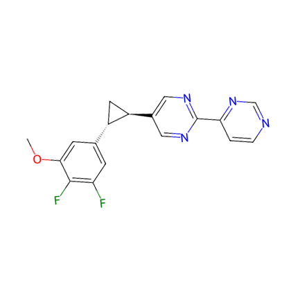 COc1cc([C@@H]2C[C@H]2c2cnc(-c3ccncn3)nc2)cc(F)c1F